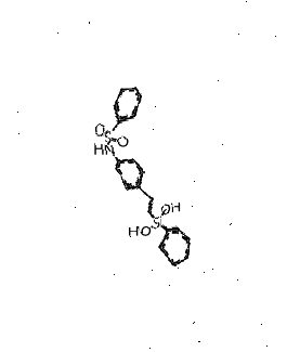 O=S(=O)(Nc1ccc(/C=C/[Si](O)(O)c2ccccc2)cc1)c1ccccc1